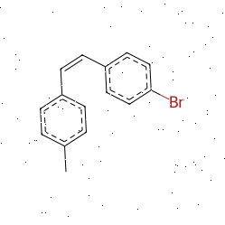 Cc1ccc(/C=C\c2ccc(Br)cc2)cc1